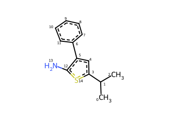 CC(C)c1cc(-c2ccccc2)c(N)s1